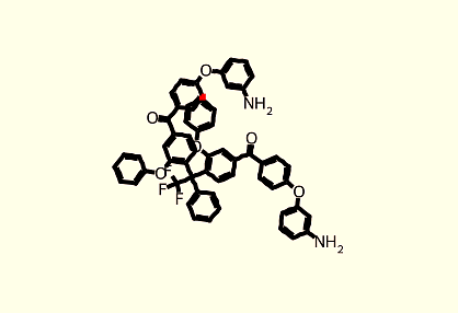 Nc1cccc(Oc2ccc(C(=O)c3ccc(C(c4ccccc4)(c4ccc(C(=O)c5ccc(Oc6cccc(N)c6)cc5)cc4Oc4ccccc4)C(F)(F)F)c(Oc4ccccc4)c3)cc2)c1